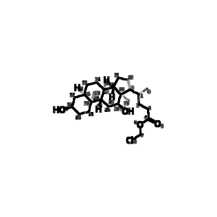 C[C@H](CCC(=O)OCCl)[C@H]1CC[C@H]2[C@@H]3CC[C@@H]4C[C@H](O)CC[C@]4(C)[C@H]3C[C@H](O)[C@]12C